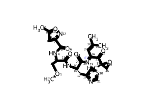 COCC(NC(=O)c1cc(C)on1)C(=O)N[C@@H](Cc1cscn1)C(=O)/N=C(\C=C(C)C)C(=O)[C@@]1(C)CO1